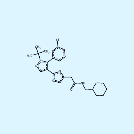 CC(C)(C)n1ncc(-c2nc(CC(=O)NCC3CCCCC3)cs2)c1-c1cccc(Cl)c1